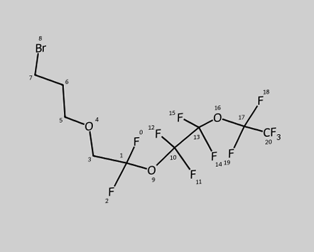 FC(F)(COCCCBr)OC(F)(F)C(F)(F)OC(F)(F)C(F)(F)F